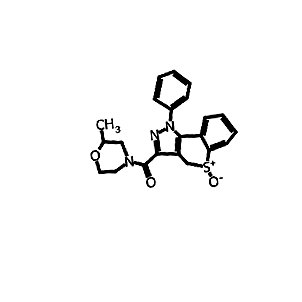 CC1CN(C(=O)c2nn(-c3ccccc3)c3c2C[S+]([O-])c2ccccc2-3)CCO1